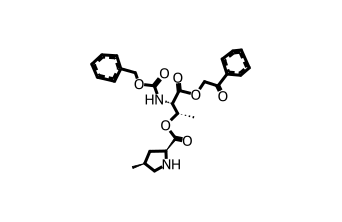 C[C@@H]1CN[C@H](C(=O)O[C@@H](C)[C@H](NC(=O)OCc2ccccc2)C(=O)OCC(=O)c2ccccc2)C1